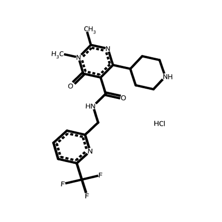 Cc1nc(C2CCNCC2)c(C(=O)NCc2cccc(C(F)(F)F)n2)c(=O)n1C.Cl